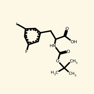 CC(C)(C)OC(=O)NC(Cc1cc(F)cc(I)c1)C(=O)O